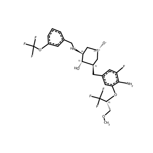 COC[C@@H](Oc1cc(C[C@@H]2C[S@@+]([O-])C[C@H](NCc3cccc(OC(F)(F)F)c3)[C@H]2O)cc(F)c1N)C(F)(F)F